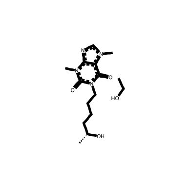 CCO.C[C@@H](O)CCCCn1c(=O)c2c(ncn2C)n(C)c1=O